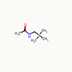 CC(=O)NC[Si](C)(C)C